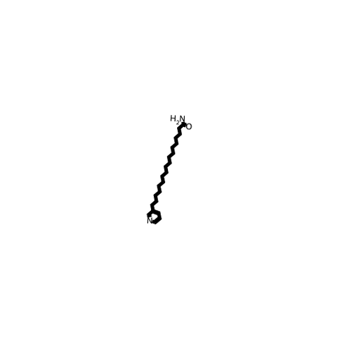 NC(=O)CCCCCCCCCCCCCCCCCc1cccnc1